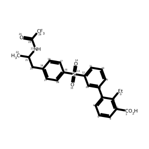 CCc1c(C(=O)O)cccc1-c1cccc(S(=O)(=O)c2ccc(CC(C)NC(=O)C(F)(F)F)cc2)c1